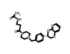 CC(=O)NCCC(=O)N1CCN(Cc2ccc([C@H]3COc4cccnc4O3)cc2)CC1